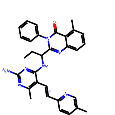 CCC(Nc1nc(N)nc(C)c1/C=C/c1ccc(C)cn1)c1nc2cccc(C)c2c(=O)n1-c1ccccc1